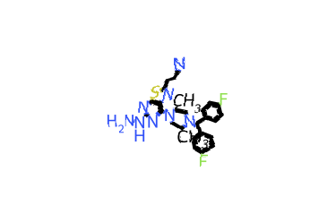 C[C@@H]1CN(c2nc(NN)nc3sc(CCC#N)nc23)[C@@H](C)CN1C(c1ccc(F)cc1)c1ccc(F)cc1